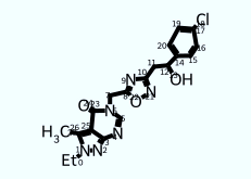 CCn1nc2ncn(Cc3nc(CC(O)c4ccc(Cl)cc4)no3)c(=O)c2c1C